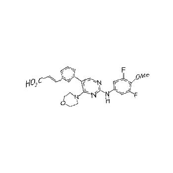 COc1c(F)cc(Nc2ncc(-c3cccc(C=CC(=O)O)c3)c(N3CCOCC3)n2)cc1F